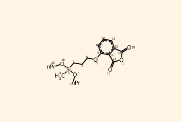 CCCO[Si](C)(CCCOc1cccc2c1C(=O)OC2=O)OCCC